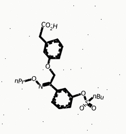 CCCCS(=O)(=O)Oc1cccc(C(COc2cccc(CC(=O)O)c2)=NOCCC)c1